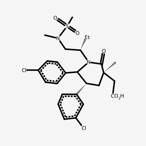 CC[C@@H](CN(C)S(C)(=O)=O)N1C(=O)[C@@](C)(CC(=O)O)C[C@H](c2cccc(Cl)c2)C1c1ccc(Cl)cc1